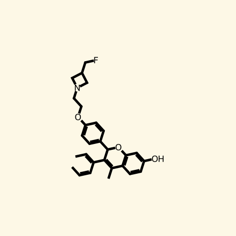 C/C=C\C(=C/C)C1=C(C)c2ccc(O)cc2OC1c1ccc(OCCN2CC(CF)C2)cc1